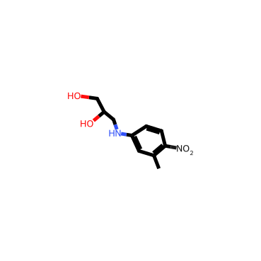 Cc1cc(NCC(O)CO)ccc1[N+](=O)[O-]